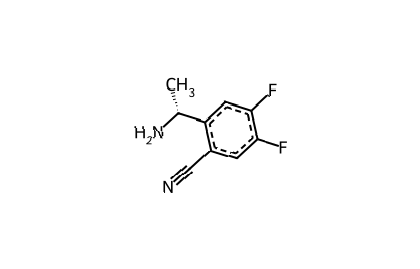 C[C@@H](N)c1cc(F)c(F)cc1C#N